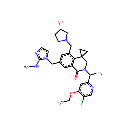 CCOc1cc([C@H](C)N2CC3(CC3)c3c(CN4CC[C@H](O)C4)cc(Cn4ccnc4NC)cc3C2=O)ncc1F